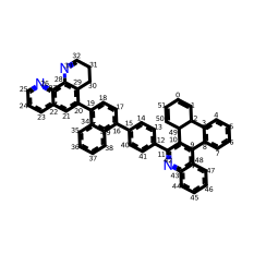 C1=CC2c3ccccc3-c3c(c(-c4ccc(-c5ccc(-c6cc7cccnc7c7c6CCC=N7)c6ccccc56)cc4)nc4ccccc34)C2C=C1